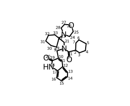 O=C(C1CCCCC1)N(Cc1cc2ccccc2[nH]c1=O)CC1(N2CCOCC2)CCCCC1